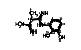 CN(C(=N)N)C(=N)Nc1cccc(O)c1O